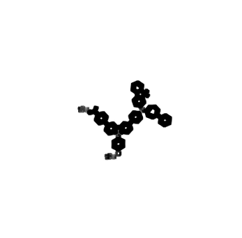 CC(CC(C)(C)C)c1ccc(-c2ccc3c(c2)c2cc(-c4ccc(N(C5=CCC=C(c6ccccc6)C=C5)c5ccc6c(c5)C(C)(C)C5C=CC=CC65)cc4)ccc2n3-c2ccc(OC(C)(C)C)cc2)cc1